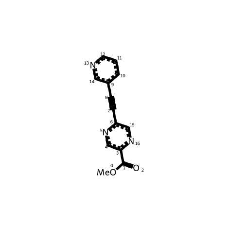 COC(=O)c1cnc(C#Cc2cccnc2)cn1